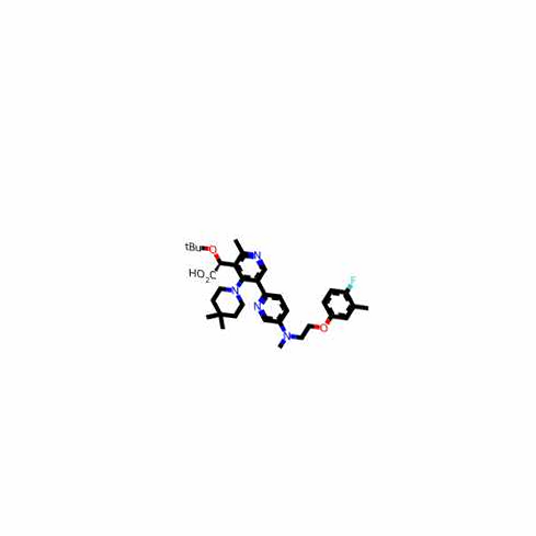 Cc1cc(OCCN(C)c2ccc(-c3cnc(C)c([C@H](OC(C)(C)C)C(=O)O)c3N3CCC(C)(C)CC3)nc2)ccc1F